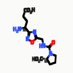 N[C@@H](CCC(=O)O)c1noc(CNC(=O)N2CCC[C@@H]2C(=O)O)n1